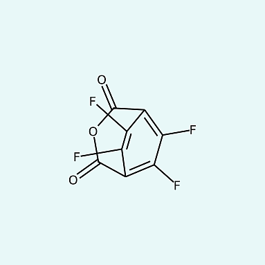 O=c1oc(=O)c2c(F)c(F)c1c(F)c2F